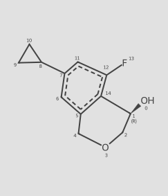 O[C@H]1COCc2cc(C3CC3)cc(F)c21